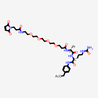 CC(=O)OCc1ccc(NC(=O)[C@@H](CCCNC(N)=O)NC(=O)[C@H](NC(=O)CCOCCOCCOCCOCCNC(=O)CCN2C(=O)C=CC2=O)C(C)C)cc1